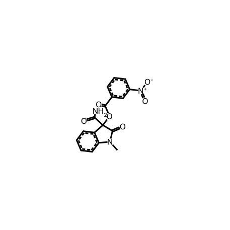 CN1C(=O)C(OC(=O)c2cccc([N+](=O)[O-])c2)(C(N)=O)c2ccccc21